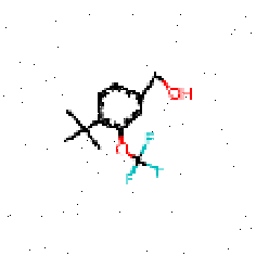 CC(C)(C)c1ccc([CH]O)cc1OC(F)(F)F